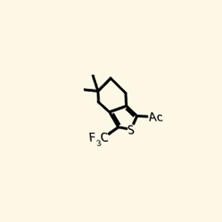 CC(=O)c1sc(C(F)(F)F)c2c1CCC(C)(C)C2